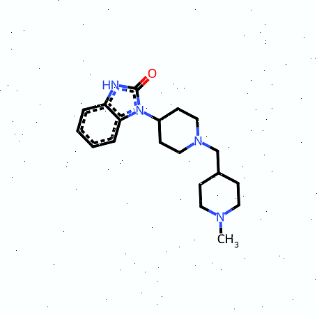 CN1CCC(CN2CCC(n3c(=O)[nH]c4ccccc43)CC2)CC1